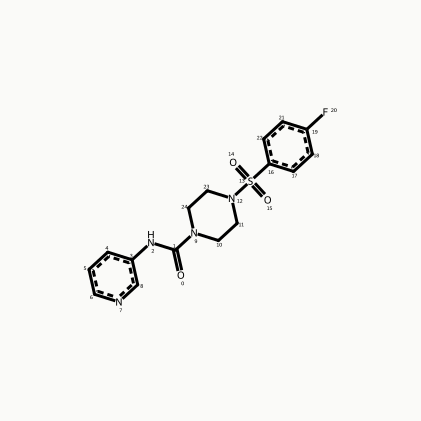 O=C(Nc1cccnc1)N1CCN(S(=O)(=O)c2ccc(F)cc2)CC1